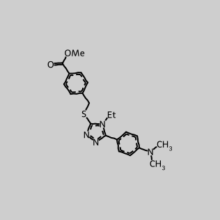 CCn1c(SCc2ccc(C(=O)OC)cc2)nnc1-c1ccc(N(C)C)cc1